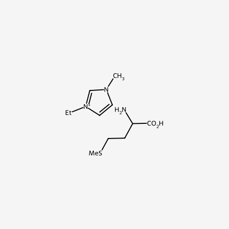 CC[n+]1ccn(C)c1.CSCCC(N)C(=O)O